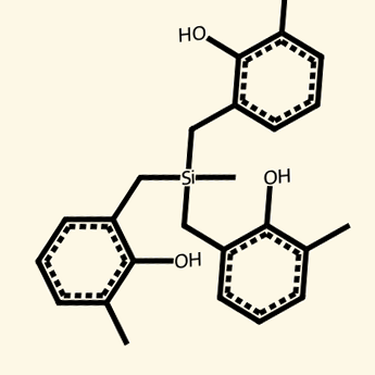 Cc1cccc(C[Si](C)(Cc2cccc(C)c2O)Cc2cccc(C)c2O)c1O